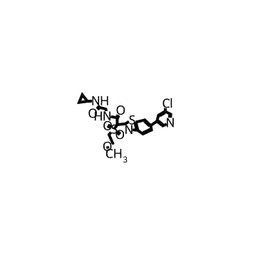 COCCS(=O)(=O)C(C(=O)NCC(=O)NC1CC1)c1nc2ccc(-c3cncc(Cl)c3)cc2s1